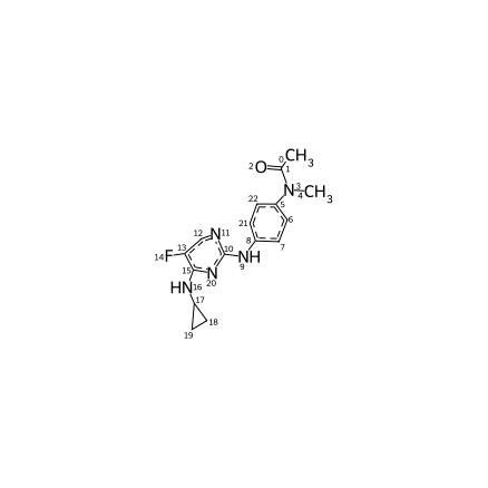 CC(=O)N(C)c1ccc(Nc2ncc(F)c(NC3CC3)n2)cc1